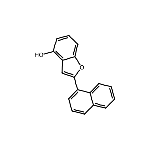 Oc1cccc2oc(-c3cccc4ccccc34)cc12